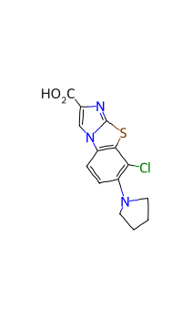 O=C(O)c1cn2c(n1)sc1c(Cl)c(N3CCCC3)ccc12